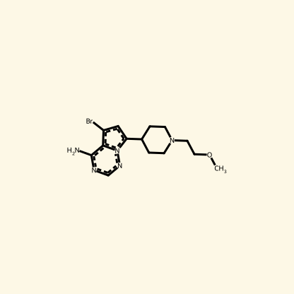 COCCN1CCC(c2cc(Br)c3c(N)ncnn23)CC1